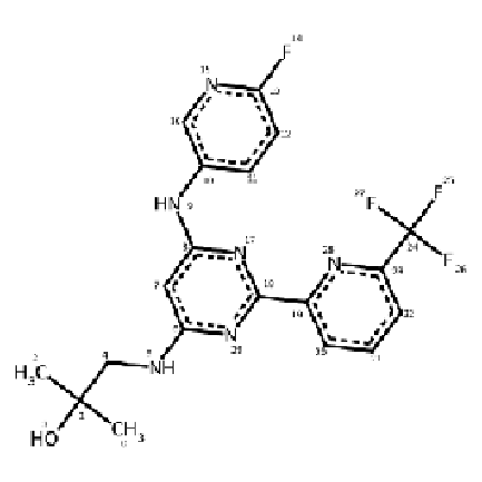 CC(C)(O)CNc1cc(Nc2ccc(F)nc2)nc(-c2cccc(C(F)(F)F)n2)n1